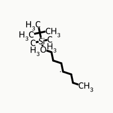 CCC[CH]CCCO[Si](C)(C)C(C)(C)C